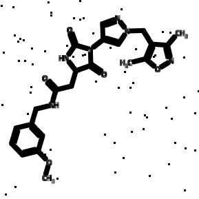 COc1cccc(CNC(=O)CC2NC(=O)N(c3cnn(Cc4c(C)noc4C)c3)C2=O)c1